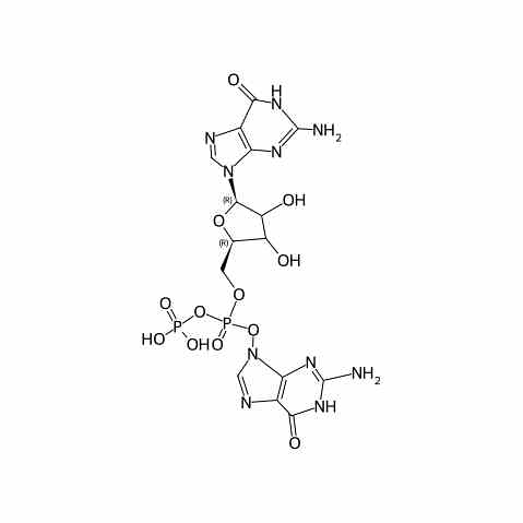 Nc1nc2c(ncn2OP(=O)(OC[C@H]2O[C@@H](n3cnc4c(=O)[nH]c(N)nc43)C(O)C2O)OP(=O)(O)O)c(=O)[nH]1